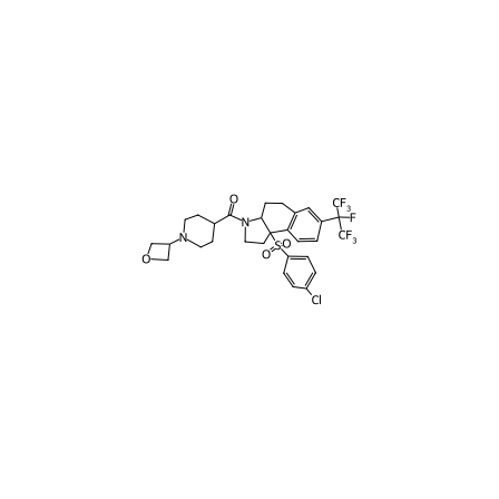 O=C(C1CCN(C2COC2)CC1)N1CCC2(S(=O)(=O)c3ccc(Cl)cc3)c3ccc(C(F)(C(F)(F)F)C(F)(F)F)cc3CCC12